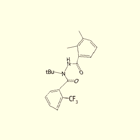 Cc1cccc(C(=O)NN(C(=O)c2ccccc2C(F)(F)F)C(C)(C)C)c1C